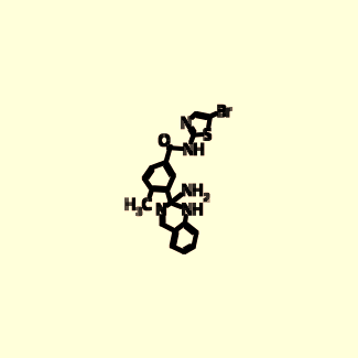 Cc1ccc(C(=O)Nc2ncc(Br)s2)cc1C1(N)N=Cc2ccccc2N1